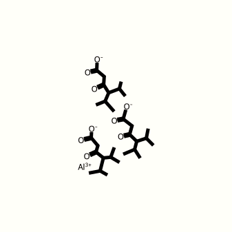 CC(C)C(C(=O)CC(=O)[O-])C(C)C.CC(C)C(C(=O)CC(=O)[O-])C(C)C.CC(C)C(C(=O)CC(=O)[O-])C(C)C.[Al+3]